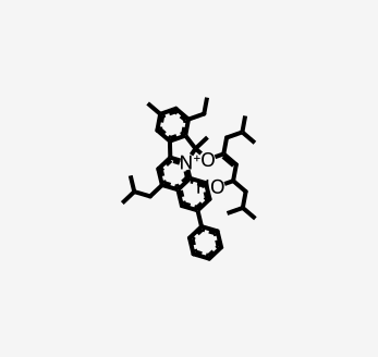 CCc1cc(C)cc2c1C(C)(O/C(=C\C(O)CC(C)C)CC(C)C)[n+]1c-2cc(CC(C)C)c2cc(-c3ccccc3)ccc21